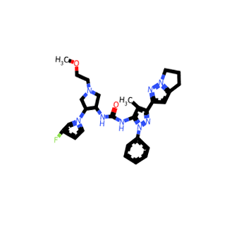 COCCN1CC(NC(=O)Nc2c(C)c(-c3cc4n(n3)CCC4)nn2-c2ccccc2)C(n2ccc(F)c2)C1